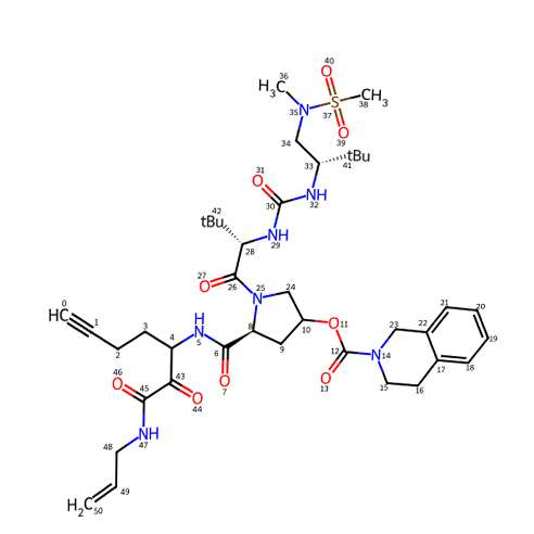 C#CCCC(NC(=O)[C@@H]1CC(OC(=O)N2CCc3ccccc3C2)CN1C(=O)[C@@H](NC(=O)N[C@H](CN(C)S(C)(=O)=O)C(C)(C)C)C(C)(C)C)C(=O)C(=O)NCC=C